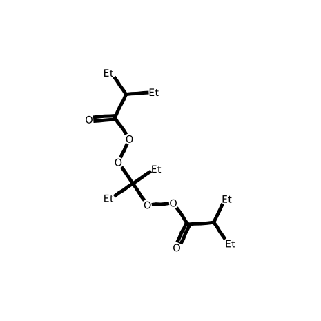 CCC(CC)C(=O)OOC(CC)(CC)OOC(=O)C(CC)CC